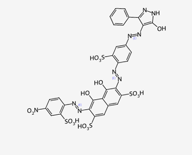 O=[N+]([O-])c1ccc(/N=N/c2c(S(=O)(=O)O)cc3cc(S(=O)(=O)O)c(/N=N/c4ccc(/N=N/c5c(-c6ccccc6)n[nH]c5O)cc4S(=O)(=O)O)c(O)c3c2O)c(S(=O)(=O)O)c1